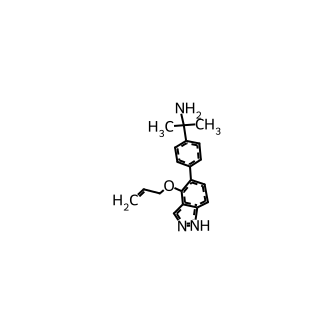 C=CCOc1c(-c2ccc(C(C)(C)N)cc2)ccc2[nH]ncc12